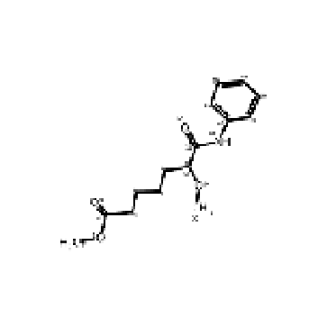 COC(=O)CCCC[C@H](OC)C(=O)Nc1ccccc1